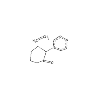 C=C.O=C1CCCCC1c1ccncc1